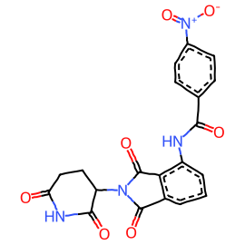 O=C1CCC(N2C(=O)c3cccc(NC(=O)c4ccc([N+](=O)[O-])cc4)c3C2=O)C(=O)N1